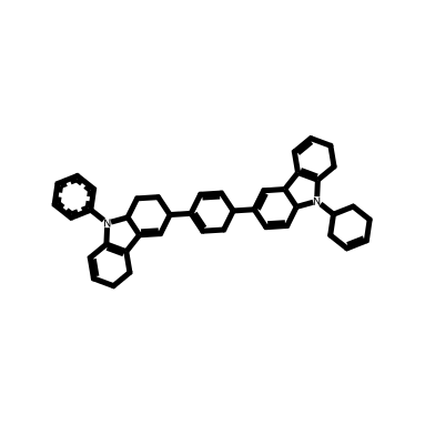 C1=CC2=C(CC1)C1=CC(C3=CCC(C4=CC5C6=C(CCC=C6)N(C6CC=CCC6)C5C=C4)C=C3)CCC1N2c1ccccc1